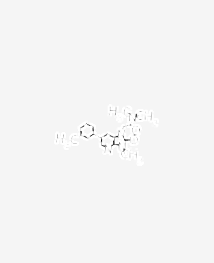 Cc1cccc(-c2cnc3c(c2)n(CC(=O)N(C)C)c(=O)n3C)c1